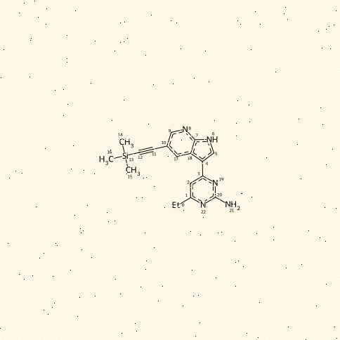 CCc1cc(-c2c[nH]c3ncc(C#C[Si](C)(C)C)cc23)nc(N)n1